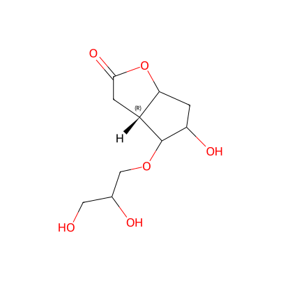 O=C1C[C@@H]2C(CC(O)C2OCC(O)CO)O1